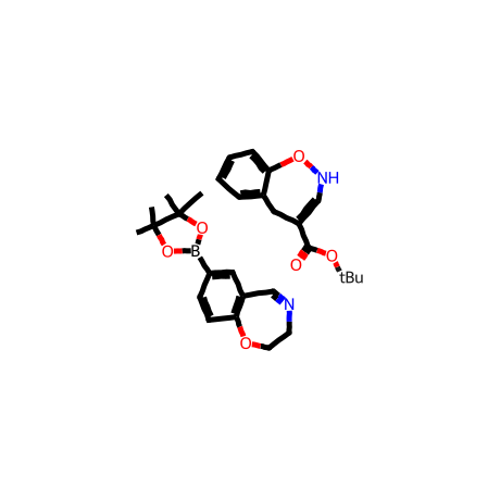 CC(C)(C)OC(=O)C1=CNOc2ccccc2C1.CC1(C)OB(c2ccc3c(c2)C=NCCO3)OC1(C)C